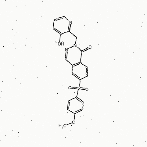 COc1ccc(S(=O)(=O)c2ccc3c(=O)n(Cc4ncccc4O)ncc3c2)cc1